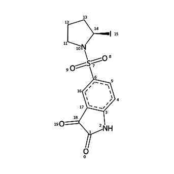 O=C1Nc2ccc(S(=O)(=O)N3CCC[C@H]3I)cc2C1=O